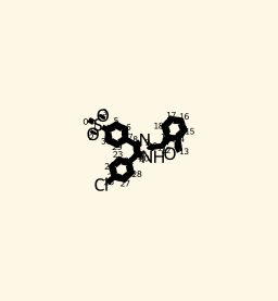 CS(=O)(=O)c1ccc(-c2nc(-c3occ4ccccc34)[nH]c2-c2ccc(Cl)cc2)cc1